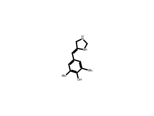 CC(C)(C)c1cc(C=C2CNCN2)cc(C(C)(C)C)c1O